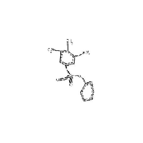 Cc1c([N+](=O)[O-])cc(S(=O)(=O)Oc2ccccc2)cc1[N+](=O)[O-]